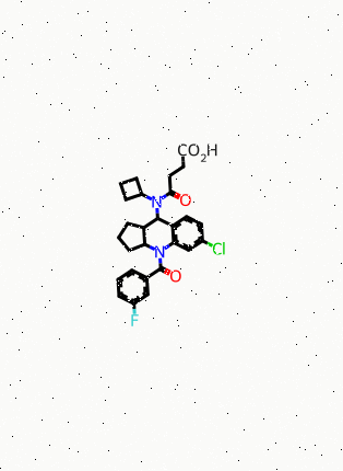 O=C(O)CCC(=O)N(C1CCC1)C1c2ccc(Cl)cc2N(C(=O)c2cccc(F)c2)C2CCCC21